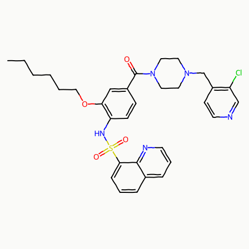 CCCCCCOc1cc(C(=O)N2CCN(Cc3ccncc3Cl)CC2)ccc1NS(=O)(=O)c1cccc2cccnc12